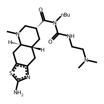 CCCCN(C(=O)NCCN(C)C)C(=O)[C@@H]1C[C@@H]2Cc3nc(N)sc3C[C@H]2N(C)C1